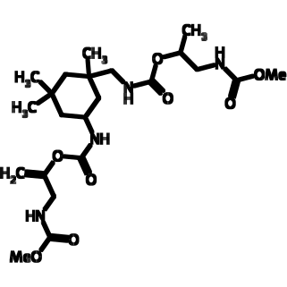 C=C(CNC(=O)OC)OC(=O)NC1CC(C)(C)CC(C)(CNC(=O)OC(C)CNC(=O)OC)C1